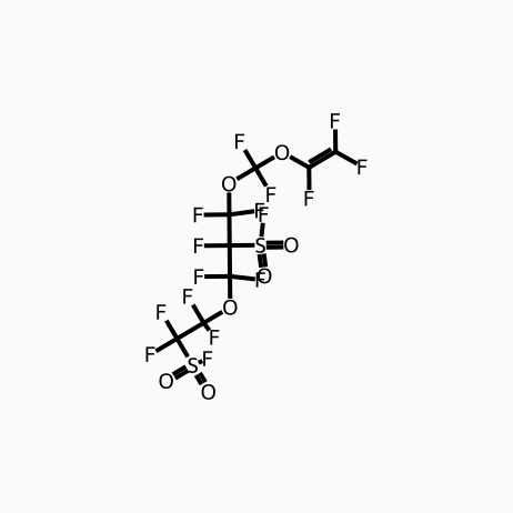 O=S(=O)(F)C(F)(F)C(F)(F)OC(F)(F)C(F)(C(F)(F)OC(F)(F)OC(F)=C(F)F)S(=O)(=O)F